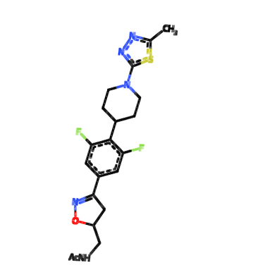 CC(=O)NCC1CC(c2cc(F)c(C3CCN(c4nnc(C)s4)CC3)c(F)c2)=NO1